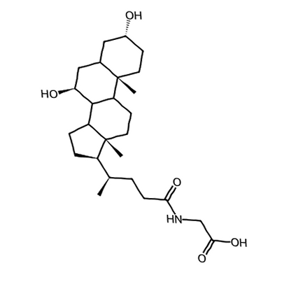 C[C@H](CCC(=O)NCC(=O)O)[C@H]1CCC2C3C(CC[C@@]21C)[C@@]1(C)CC[C@@H](O)CC1C[C@@H]3O